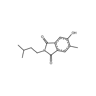 Cc1cc2c(cc1O)C(=O)N(CCC(C)C)C2=O